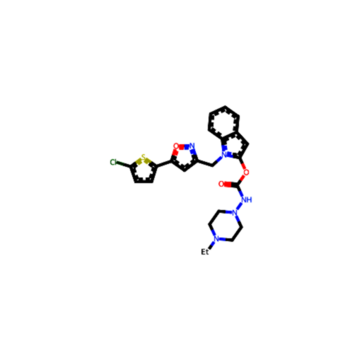 CCN1CCN(NC(=O)Oc2cc3ccccc3n2Cc2cc(-c3ccc(Cl)s3)on2)CC1